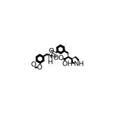 O=C(O)[C@@H](Cc1cccc(S(=O)(=O)NCc2ccc3c(c2)OCO3)c1)[C@H]1CCNC1